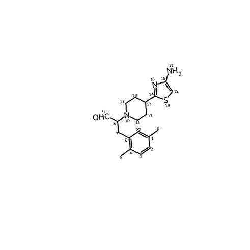 Cc1ccc(C)c(CC(C=O)N2CCC(c3nc(N)cs3)CC2)c1